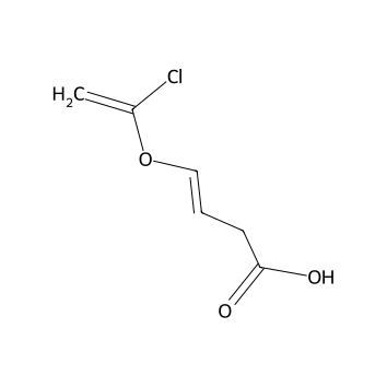 C=C(Cl)OC=CCC(=O)O